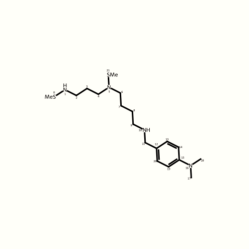 CSNCCCN(CCCCNCc1ccc(N(C)C)cc1)SC